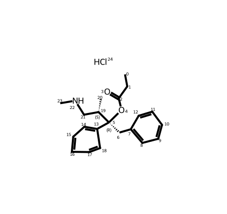 CCC(=O)O[C@@](Cc1ccccc1)(c1ccccc1)[C@@H](C)CNC.Cl